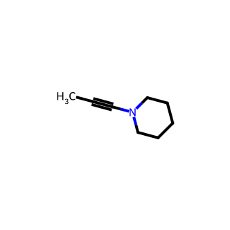 CC#CN1CCCCC1